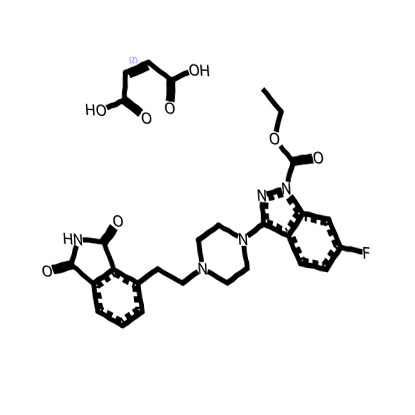 CCOC(=O)n1nc(N2CCN(CCc3cccc4c3C(=O)NC4=O)CC2)c2ccc(F)cc21.O=C(O)/C=C\C(=O)O